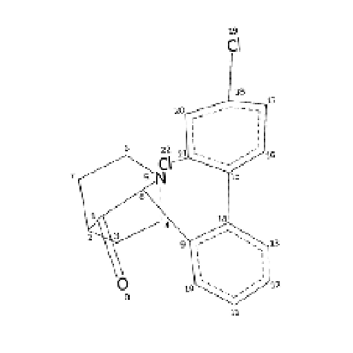 O=C1C2CCN(CC2)C1c1ccccc1-c1ccc(Cl)cc1Cl